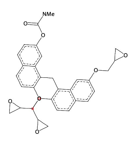 CNC(=O)Oc1ccc2ccc(OCC3CO3)c(Cc3c(OCC4CO4)ccc4ccc(OCC5CO5)cc34)c2c1